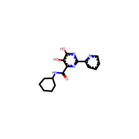 O=C(NC1CCCCC1)c1nc(-c2ccccn2)nc(O)c1O